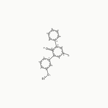 CCOc1cccc(-c2cn(C)cc(-c3ccccc3)c2=O)c1